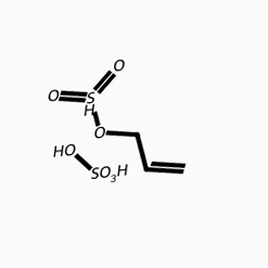 C=CCO[SH](=O)=O.O=S(=O)(O)O